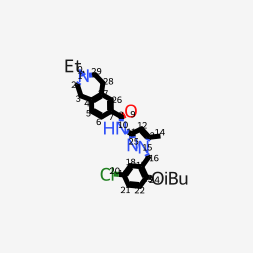 CCN1CCc2ccc(C(=O)Nc3cc(C)n(Cc4cc(Cl)ccc4OCC(C)C)n3)cc2CC1